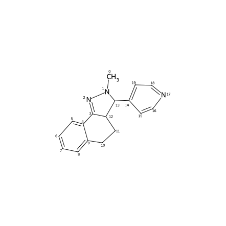 CN1N=C2c3ccccc3CCC2C1c1ccncc1